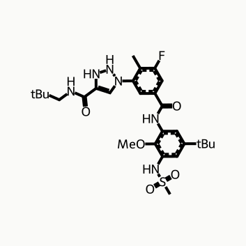 COc1c(NC(=O)c2cc(F)c(C)c(N3C=C(C(=O)NCC(C)(C)C)NN3)c2)cc(C(C)(C)C)cc1NS(C)(=O)=O